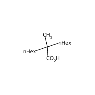 CCCCCCC(C)(CCCCCC)C(=O)O